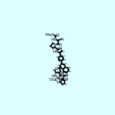 COC(=O)NC(C(=O)N1CCCC1c1ncc(-c2ccc(-c3ccc4c(ccc5nc([C@@H]6[C@H]7CC[C@H](C7)N6[N+](O)(C(=O)[O-])C(C)C6CCOCC6)[nH]c54)c3)cc2)[nH]1)C(C)C